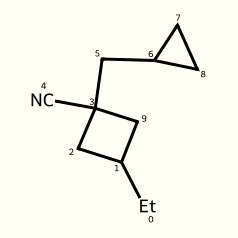 CCC1CC(C#N)(CC2CC2)C1